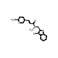 CN(Cc1oc2ccccc2c1Cl)C(=O)/C=C/c1ccc(N)nc1